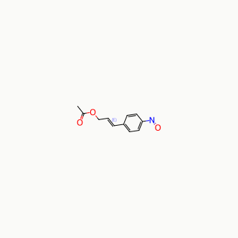 CC(=O)OC/C=C/c1ccc(N=O)cc1